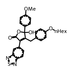 CCCCCCOc1ccc(CC2=C(c3ccc4nsnc4c3)C(=O)OC2(O)c2ccc(OC)cc2)cc1